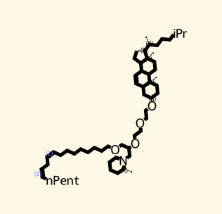 CCCCC/C=C\C/C=C\CCCCCCCCOCC(CN1CCCC[C@H]1C)OCCOCCO[C@H]1CC[C@@]2(C)C(C=CC3C2CC[C@@]2(C)C3CC[C@@H]2[C@H](C)CCCC(C)C)C1